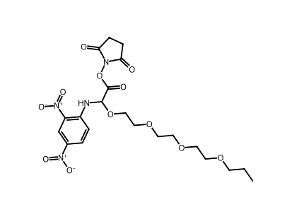 CCCOCCOCCOCCOC(Nc1ccc([N+](=O)[O-])cc1[N+](=O)[O-])C(=O)ON1C(=O)CCC1=O